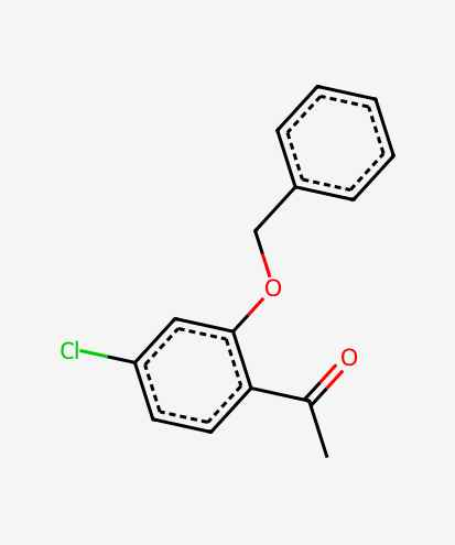 CC(=O)c1ccc(Cl)cc1OCc1ccccc1